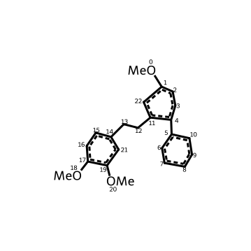 COc1ccc(-c2ccccc2)c(CCc2ccc(OC)c(OC)c2)c1